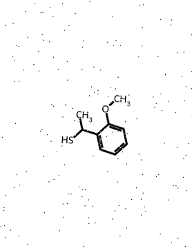 COc1ccccc1C(C)S